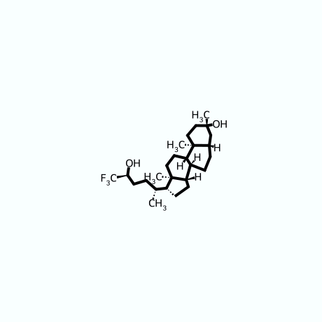 C[C@H](CC[C@H](O)C(F)(F)F)[C@H]1CC[C@H]2[C@@H]3CC[C@H]4C[C@@](C)(O)CC[C@]4(C)[C@H]3CC[C@]12C